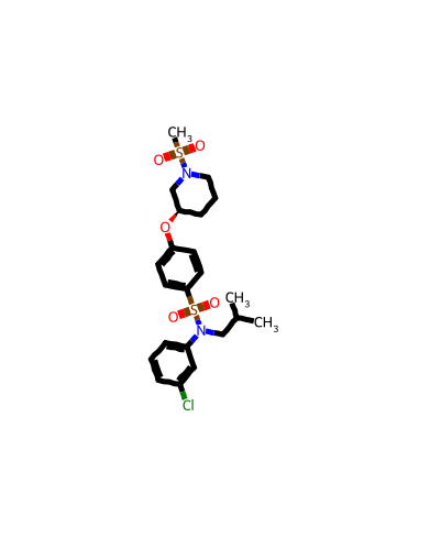 CC(C)CN(c1cccc(Cl)c1)S(=O)(=O)c1ccc(O[C@@H]2CCCN(S(C)(=O)=O)C2)cc1